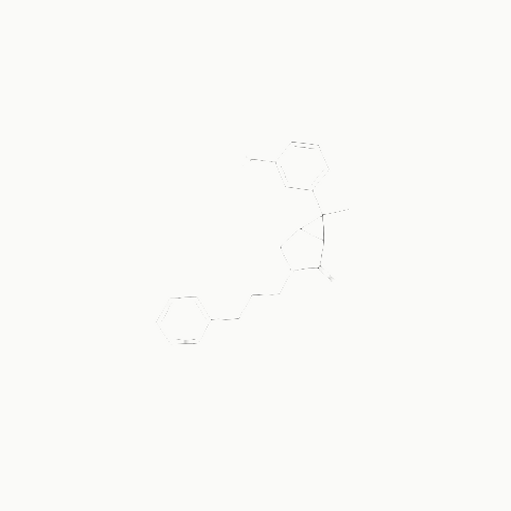 CC1(c2cccc([N+](=O)[O-])c2)C2CN(CCCc3ccccc3)C(=O)C21